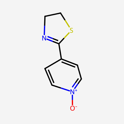 [O-][n+]1ccc(C2=NCCS2)cc1